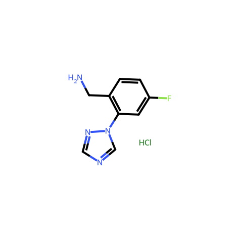 Cl.NCc1ccc(F)cc1-n1cncn1